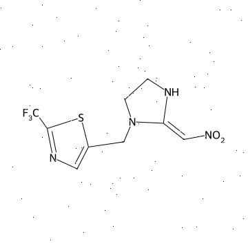 O=[N+]([O-])/C=C1\NCCN1Cc1cnc(C(F)(F)F)s1